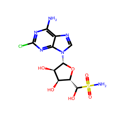 Nc1nc(Cl)nc2c1ncn2[C@@H]1O[C@H](C(O)S(N)(=O)=O)[C@@H](O)[C@H]1O